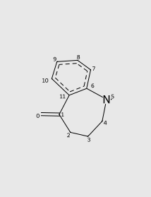 C=C1CCC[N]c2ccccc21